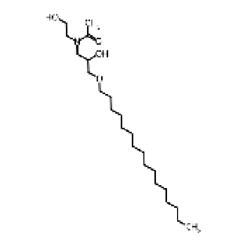 CCCCCCCCCCCCCCCCOCC(O)CN(CCO)C(C)=O